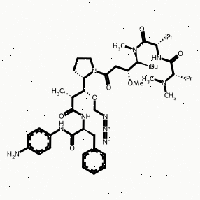 CC[C@H](C)[C@@H]([C@@H](CC(=O)N1CCC[C@H]1[C@H](OCN=[N+]=[N-])[C@@H](C)C(=O)N[C@@H](Cc1ccccc1)C(=O)Nc1ccc(N)cc1)OC)N(C)C(=O)[C@@H](NC(=O)[C@H](C(C)C)N(C)C)C(C)C